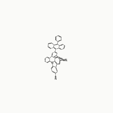 N#Cc1cc(-c2ccccc2-n2c3ccc(C#N)cc3c3cc(C#N)ccc32)cc(-c2c3ccccc3c(-c3ccccc3)c3ccccc23)c1